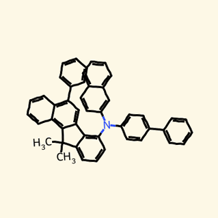 CC1(C)c2cccc(N(c3ccc(-c4ccccc4)cc3)c3ccc4ccccc4c3)c2-c2cc(-c3ccccc3)c3ccccc3c21